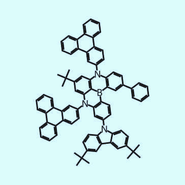 CC(C)(C)c1cc2c3c(c1)N(c1ccc4c5ccccc5c5ccccc5c4c1)c1cc(-n4c5ccc(C(C)(C)C)cc5c5cc(C(C)(C)C)ccc54)ccc1B3c1cc(-c3ccccc3)ccc1N2c1ccc2c3ccccc3c3ccccc3c2c1